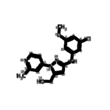 COc1cc(Cl)cc(Nc2cc(CO)n(-c3ccnc(C)c3)n2)c1